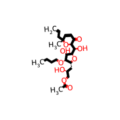 C=CC[C@]1(C)C=CC(=O)[C@@H]([C@@H](O)[C@@H]2O[C@H](C[C@@H](O)COC(C)=O)[C@H](OCCCC)[C@H]2O)O1